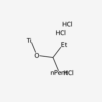 CCCCCC(CC)[O][Ti].Cl.Cl.Cl